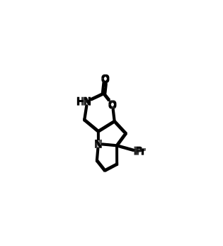 CC(C)C12CCCN1C1CNC(=O)OC1C2